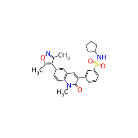 Cc1noc(C)c1-c1ccc2c(c1)cc(-c1cccc(S(=O)(=O)NC3CCCC3)c1)c(=O)n2C